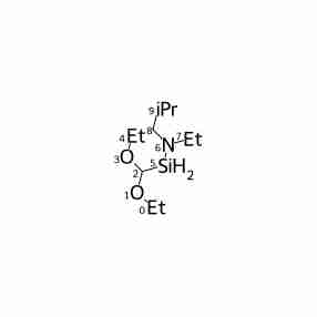 CCOC(OCC)[SiH2]N(CC)CC(C)C